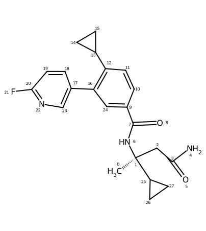 C[C@@](CC(N)=O)(NC(=O)c1ccc(C2CC2)c(-c2ccc(F)nc2)c1)C1CC1